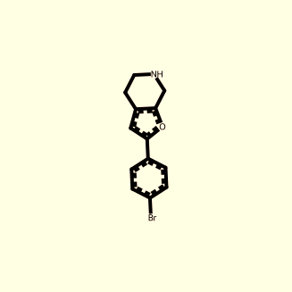 Brc1ccc(-c2cc3c(o2)CNCC3)cc1